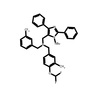 CCCCn1c(-c2ccccc2)nc(-c2ccccc2)c1CN(Cc1cccc(C(F)(F)F)c1)Cc1ccc(OC(F)F)c(C)c1